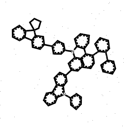 c1ccc(-c2ccccc2-c2ccccc2-c2ccccc2N(c2ccc(-c3ccc4c(c3)C3(CCCC3)c3ccccc3-4)cc2)c2cccc(-c3ccc4c5ccccc5n(-c5ccccc5)c4c3)c2)cc1